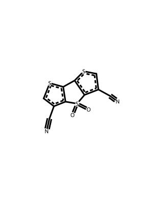 N#Cc1csc2c1S(=O)(=O)c1c(C#N)csc1-2